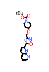 CC(C)(C)OC(=O)N1CCC(OCc2noc(-c3ccc4cccnc4n3)n2)CC1